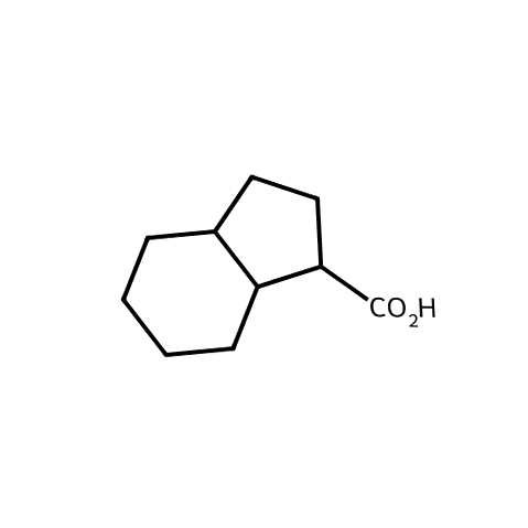 O=C(O)C1CCC2CCCCC21